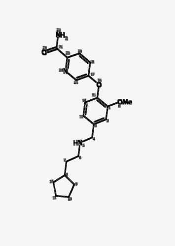 COc1cc(CNCCC2CCCC2)ccc1Oc1ccc(C(N)=O)nc1